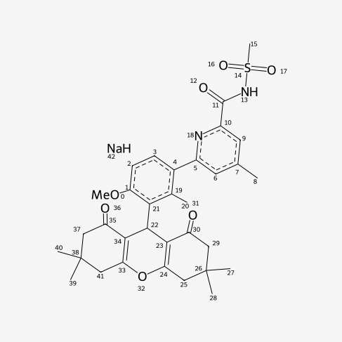 COc1ccc(-c2cc(C)cc(C(=O)NS(C)(=O)=O)n2)c(C)c1C1C2=C(CC(C)(C)CC2=O)OC2=C1C(=O)CC(C)(C)C2.[NaH]